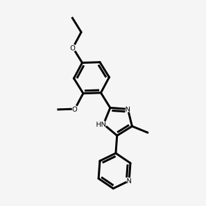 CCOc1ccc(-c2nc(C)c(-c3cccnc3)[nH]2)c(OC)c1